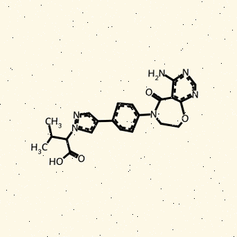 CC(C)C(C(=O)O)n1cc(-c2ccc(N3CCOc4ncnc(N)c4C3=O)cc2)cn1